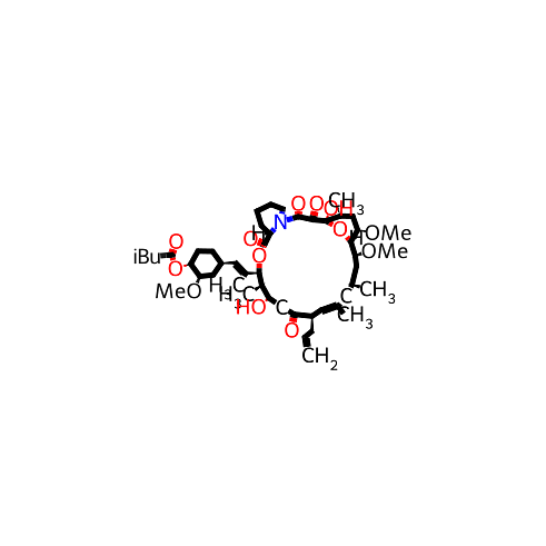 C=CC[C@@H]1/C=C(\C)C[C@H](C)C[C@H](OC)[C@H]2O[C@@](O)(C(=O)C(=O)N3CCCC[C@H]3C(=O)O[C@H](/C(C)=C/[C@@H]3CC[C@@H](OC(=O)C(C)CC)[C@H](OC)C3)[C@H](C)[C@@H](O)CC1=O)[C@H](C)C[C@@H]2OC